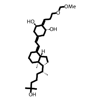 COCOCCC=C1[C@H](O)CC(=C/C=C2\CCC[C@]3(C)[C@@H]([C@H](C)CCCC(C)(C)O)CC[C@@H]23)C[C@H]1O